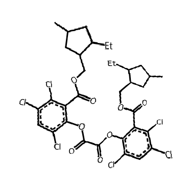 CCC1CC(C)CC1COC(=O)c1c(Cl)c(Cl)cc(Cl)c1OC(=O)C(=O)Oc1c(Cl)cc(Cl)c(Cl)c1C(=O)OCC1CC(C)CC1CC